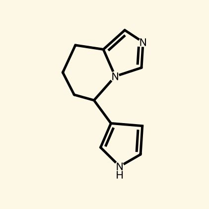 c1cc(C2CCCc3cncn32)c[nH]1